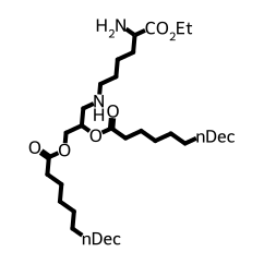 CCCCCCCCCCCCCCCC(=O)OCC(CNCCCCC(N)C(=O)OCC)OC(=O)CCCCCCCCCCCCCCC